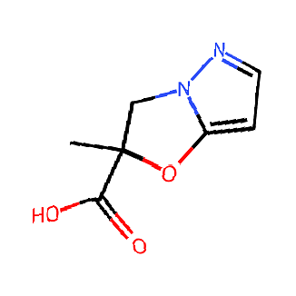 CC1(C(=O)O)Cn2nccc2O1